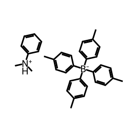 C[NH+](C)c1ccccc1.Cc1ccc([B-](c2ccc(C)cc2)(c2ccc(C)cc2)c2ccc(C)cc2)cc1